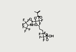 C=C(C)C(=O)OC(OCCCC(F)(F)C(F)(F)S(=O)(=O)O)(C(=O)NC(C(F)(F)F)C(F)(F)F)C(F)(F)F